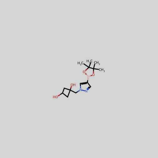 CC1(C)OB(c2cnn(CC3(O)CC(O)C3)c2)OC1(C)C